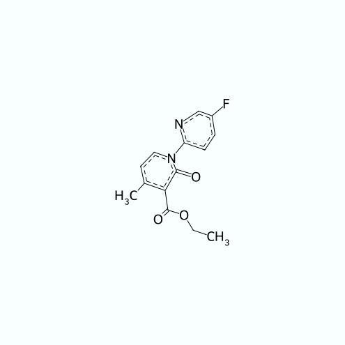 CCOC(=O)c1c(C)ccn(-c2ccc(F)cn2)c1=O